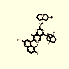 Oc1cc(-c2ncc3c(N4C[C@H]5CC[C@@H](C4)C5(F)F)nc(OC[C@@]45CCCN4C[C@H](F)C5)nc3c2F)c2c(F)c(F)ccc2c1